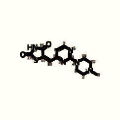 CN1CCN(c2nccc(/C=C3/SC(=O)NC3=O)n2)CC1